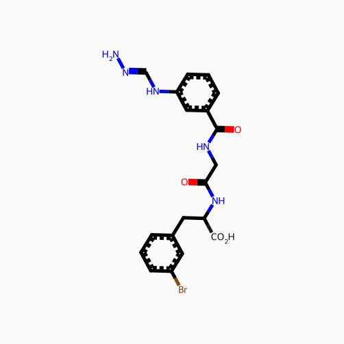 NN=CNc1cccc(C(=O)NCC(=O)NC(Cc2cccc(Br)c2)C(=O)O)c1